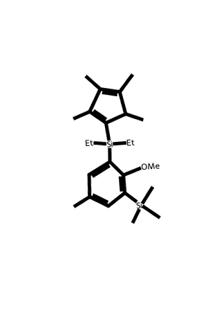 CC[Si](CC)(C1=C(C)C(C)=C(C)C1C)c1cc(C)cc([Si](C)(C)C)c1OC